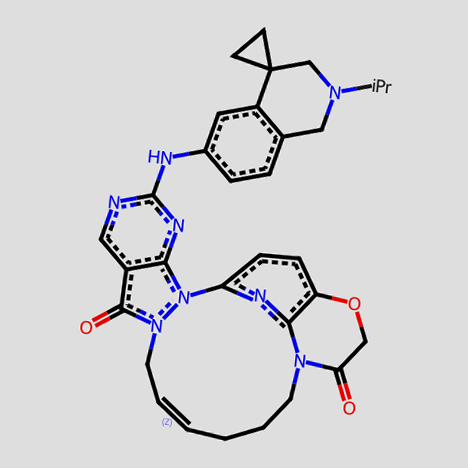 CC(C)N1Cc2ccc(Nc3ncc4c(=O)n5n(c4n3)-c3ccc4c(n3)N(CCC/C=C\C5)C(=O)CO4)cc2C2(CC2)C1